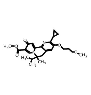 COCCCOc1cc2c(nc1C1CC1)-c1cc(=O)c(C(=O)OC)cn1C(C)(C(C)C)C2